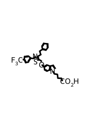 O=C(O)CCCCn1ccc2cc(OCc3sc(-c4ccc(C(F)(F)F)cc4)nc3CCc3ccccc3)ccc21